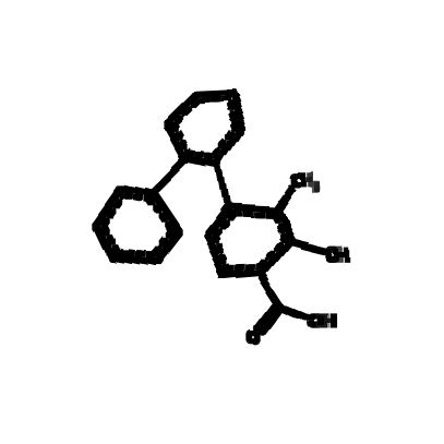 Cc1c(-c2ccccc2-c2ccccc2)ccc(C(=O)O)c1O